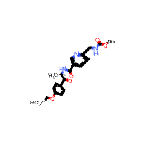 C[C@H](NC(=O)c1ccc(CNC(=O)OC(C)(C)C)nc1)C(=O)c1ccc(OCC(=O)O)cc1